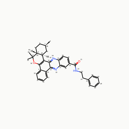 C[C@@H]1CC[C@@H]2[C@@H](C1)c1c(c3ccccc3c3nc4cc(C(=O)NCCc5ccccc5)ccc4nc13)OC2(C)C